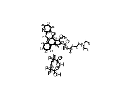 CCN(CC)CCCC(C)NC(=O)c1sc2c(c1OC)c(=O)n(Cc1ccccn1)c1ccccc21.O=C(O)C(F)(F)F.O=C(O)C(F)(F)F